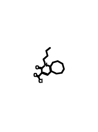 CCCCn1c2c(cc(C(=O)Cl)c1=O)CCCCCC2